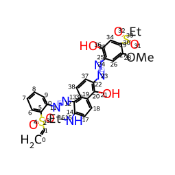 C=CS(=O)(=O)c1ccccc1/N=N/c1c(NCC)ccc2c(O)c(/N=N/c3cc(OC)c(S(=O)(=O)CC)cc3O)ccc12